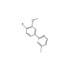 COc1cc(-c2cc(I)ccn2)ccc1F